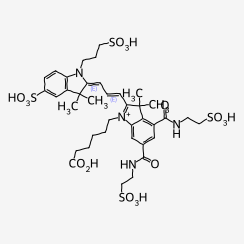 CC1(C)C(/C=C/C=C2/N(CCCS(=O)(=O)O)c3ccc(S(=O)(=O)O)cc3C2(C)C)=[N+](CCCCCC(=O)O)c2cc(C(=O)NCCS(=O)(=O)O)cc(C(=O)NCCS(=O)(=O)O)c21